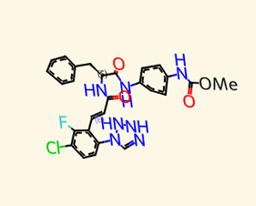 COC(=O)Nc1ccc(NC(=O)[C@H](Cc2ccccc2)NC(=O)/C=C/c2c(N3C=NNN3)ccc(Cl)c2F)cc1